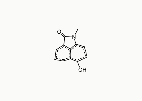 CN1C(=O)c2cccc3c(O)ccc1c23